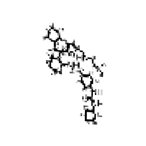 CN(C)CCNCc1ccc(-c2c(-c3ccccc3)oc3ncnc(NCCc4ccc(NC(=O)Nc5ccccc5)cc4)c23)o1